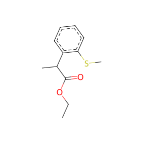 CCOC(=O)C(C)c1ccccc1SC